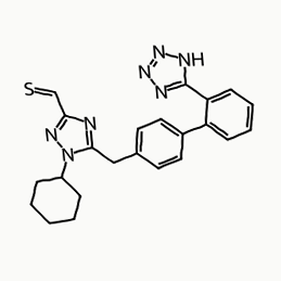 S=Cc1nc(Cc2ccc(-c3ccccc3-c3nnn[nH]3)cc2)n(C2CCCCC2)n1